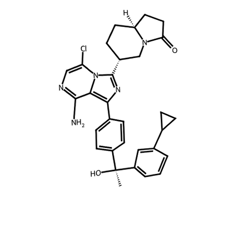 C[C@](O)(c1ccc(-c2nc([C@@H]3CC[C@H]4CCC(=O)N4C3)n3c(Cl)cnc(N)c23)cc1)c1cccc(C2CC2)c1